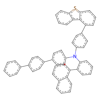 c1ccc(-c2ccc(-c3ccc(N(c4ccc(-c5cccc6sc7ccccc7c56)cc4)c4ccccc4-c4cccc5ccccc45)cc3)cc2)cc1